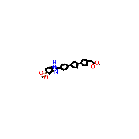 COC(=O)CC1CCC(c2ccc(-c3ccc(-c4nc5c([nH]4)=CCC(S(C)(=O)=O)C=5)cc3)cc2)CC1